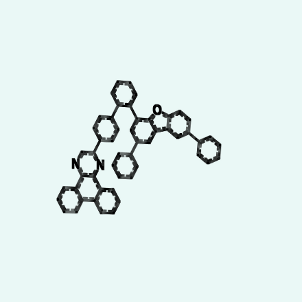 c1ccc(-c2ccc3oc4c(-c5ccccc5-c5ccc(-c6cnc7c8ccccc8c8ccccc8c7n6)cc5)cc(-c5ccccc5)cc4c3c2)cc1